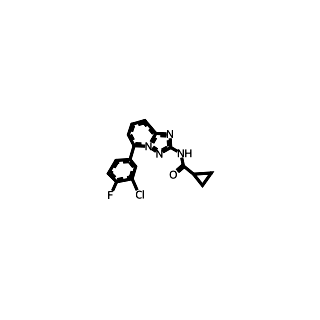 O=C(Nc1nc2cccc(-c3ccc(F)c(Cl)c3)n2n1)C1CC1